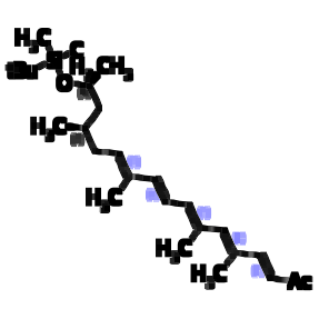 CC(=O)/C=C/C(C)=C/C(C)=C/C=C/C(C)=C/C[C@@H](C)C[C@H](C)O[Si](C)(C)C(C)(C)C